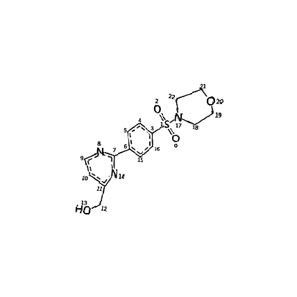 O=S(=O)(c1ccc(-c2nccc(CO)n2)cc1)N1CCOCC1